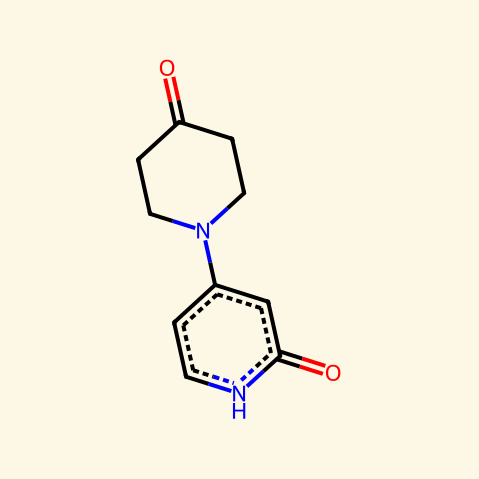 O=C1CCN(c2cc[nH]c(=O)c2)CC1